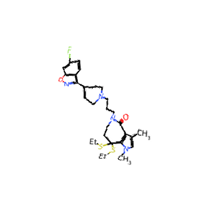 CCSC1(SCC)CCN(CCCN2CCC(c3noc4cc(F)ccc34)CC2)C(=O)c2c(C)cn(C)c21